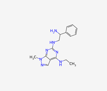 CCNc1nc(NCC(N)c2ccccc2)nc2c1cnn2C